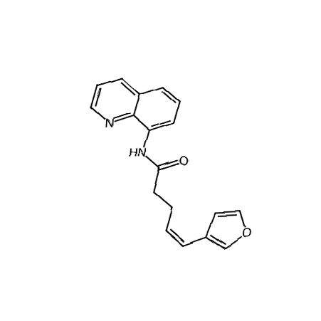 O=C(CC/C=C\c1ccoc1)Nc1cccc2cccnc12